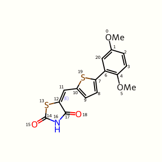 COc1ccc(OC)c(-c2ccc(/C=C3/SC(=O)NC3=O)s2)c1